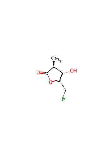 C[C@@H]1C(=O)O[C@@H](CBr)[C@H]1O